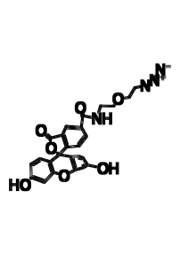 [N-]=[N+]=NCCOCCNC(=O)c1ccc2c(c1)C(=O)OC21c2ccc(O)cc2Oc2cc(O)ccc21